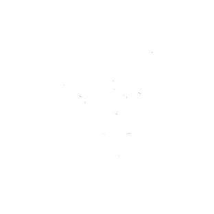 C[C@@H](NC(=O)c1cn([C@H]2[C@H](C)C2(F)F)c(=O)cc1N[C@@H]1[C@@H]2CN(C)C[C@@H]21)c1cccc(C(C)(F)F)c1F